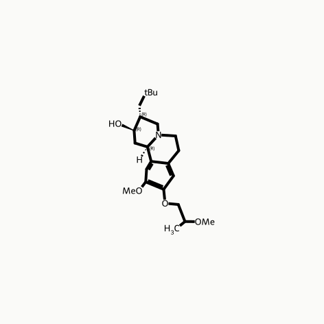 COc1cc2c(cc1OCC(C)OC)CCN1C[C@@H](CC(C)(C)C)[C@H](O)C[C@H]21